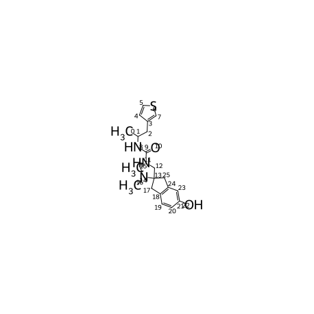 CC(Cc1ccsc1)NC(=O)NCC1(N(C)C)Cc2ccc(O)cc2C1